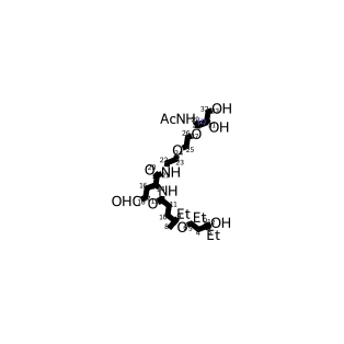 CCC(O)(CC)CCOC(C)(CC)CCC(=O)NC(CCC=O)C(=O)NCCOCCO/C(NC(C)=O)=C(\O)CO